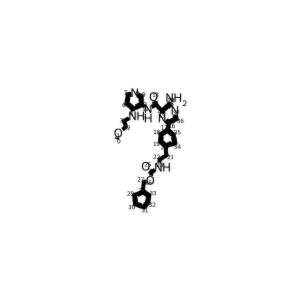 COCCNc1ccncc1NC(=O)c1nc(-c2ccc(CCNC(=O)OCc3ccccc3)cc2)cnc1N